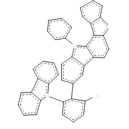 N#Cc1cccc(-n2c3ccccc3c3ccccc32)c1-c1ccc2c(c1)c1ccc3sc4ccccc4c3c1n2-c1ccccc1